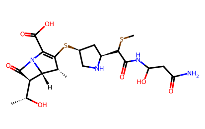 CSC(C(=O)NC(O)CC(N)=O)[C@@H]1C[C@H](SC2=C(C(=O)O)N3C(=O)[C@H]([C@@H](C)O)[C@H]3[C@H]2C)CN1